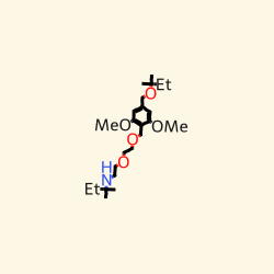 CCC(C)(C)NCCOCCOCc1c(OC)cc(COC(C)(C)CC)cc1OC